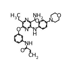 C=CC(=O)Nc1cccc(Oc2nc(Nc3ccc(N4CCOCC4)cc3)c(C(N)=O)nc2CC)c1